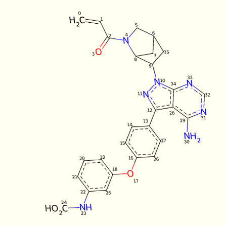 C=CC(=O)N1CC2CC1C(n1nc(-c3ccc(Oc4cccc(NC(=O)O)c4)cc3)c3c(N)ncnc31)C2